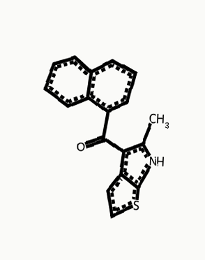 Cc1[nH]c2sccc2c1C(=O)c1cccc2ccccc12